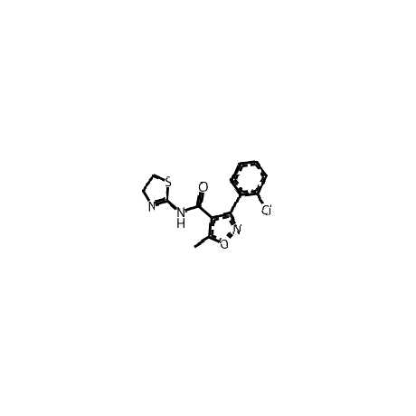 Cc1onc(-c2ccccc2Cl)c1C(=O)NC1=NCCS1